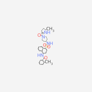 Cc1ccccc1C(=O)Nc1ccc(S(=O)(=O)NC2CCN(C(=O)[C@@H]3CCC(C)N3)CC2)c2ccccc12